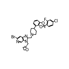 C[C@]1(c2ccc(Cl)cc2F)Oc2cccc(C3CCN(Cc4nc5cc(Br)ncc5n4C[C@@H]4CCO4)CC3)c2O1